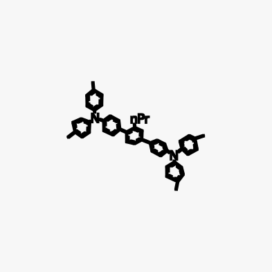 CCCc1cc(-c2ccc(N(c3ccc(C)cc3)c3ccc(C)cc3)cc2)ccc1-c1ccc(N(c2ccc(C)cc2)c2ccc(C)cc2)cc1